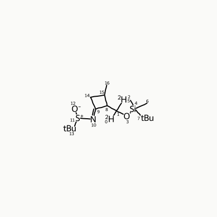 [2H]C([2H])(O[Si](C)(C)C(C)(C)C)C1C(=N[S+]([O-])C(C)(C)C)CC1C